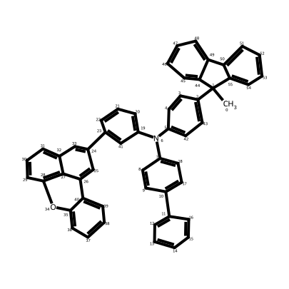 CC1(c2ccc(N(c3ccc(-c4ccccc4)cc3)c3cccc(-c4cc5c6c(cccc6c4)Oc4ccccc4-5)c3)cc2)c2ccccc2-c2ccccc21